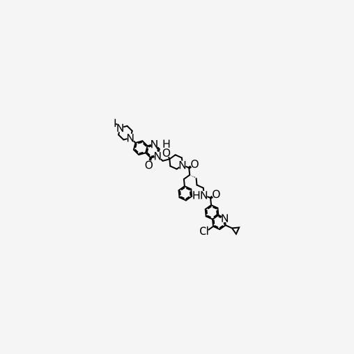 O=C(NCCC[C@H](Cc1ccccc1)C(=O)N1CCC(O)(Cn2cnc3cc(N4CCN(I)CC4)ccc3c2=O)CC1)c1ccc2c(Cl)cc(C3CC3)nc2c1